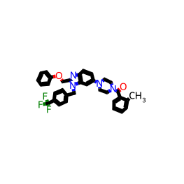 Cc1ccccc1C(=O)N1CCN(c2ccc3nc(COc4ccccc4)n(Cc4ccc(C(F)(F)F)cc4)c3c2)CC1